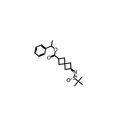 CC(OC(=O)C1CC2(CC(=N[S@@+]([O-])C(C)(C)C)C2)C1)c1ccccc1